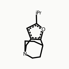 CC(C)c1cc2c(o1)C1CCN(CC1)C2